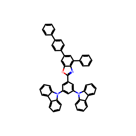 c1ccc(-c2ccc(-c3cc(-c4ccccc4)c4nc(-c5cc(-n6c7ccccc7c7ccccc76)cc(-n6c7ccccc7c7ccccc76)c5)oc4c3)cc2)cc1